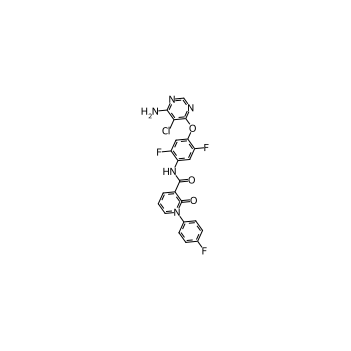 Nc1ncnc(Oc2cc(F)c(NC(=O)c3cccn(-c4ccc(F)cc4)c3=O)cc2F)c1Cl